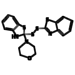 c1ccc2c(c1)NC(SSc1nc3ccccc3s1)(N1CCOCC1)S2